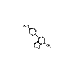 COc1ccc(-c2ccc(C)c3occc23)cc1